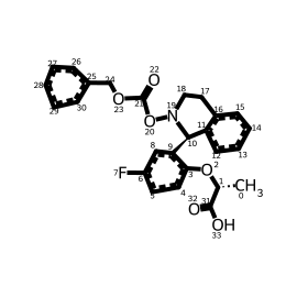 C[C@@H](Oc1ccc(F)cc1[C@@H]1c2ccccc2CCN1OC(=O)OCc1ccccc1)C(=O)O